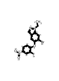 CCn1ncc2cc(Oc3ccc([N+](=O)[O-])cc3F)c(Br)cc21